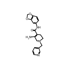 NC1=C(C(=O)Nc2ccc3c(c2)OCO3)CCN(Cc2cccnc2)C1